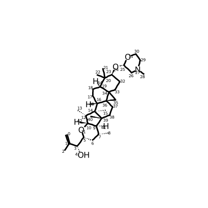 C=C(C)[C@@H](O)[C@H]1C[C@@H](C)[C@H]2[C@H](O1)[C@H](C)[C@@]1(C)[C@@H]3CC[C@H]4C(C)(C)[C@@H](O[C@H]5CN(C)CCO5)CCC45C[C@@]35CC[C@]21C